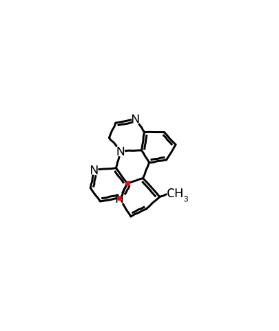 Cc1ccncc1-c1cccc2c1N(c1ccccn1)CC=N2